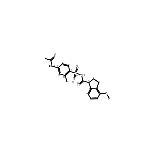 COc1cccc2c1CCC2C(=O)NS(=O)(=O)c1ccc(NC(C)=O)cc1C